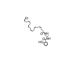 CC/C=C\C/C=C\C/C=C\C/C=C\C/C=C\C/C=C\CCC(=O)NCC(C)NC(=O)c1ccccc1O